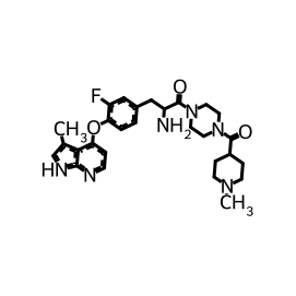 Cc1c[nH]c2nccc(Oc3ccc(CC(N)C(=O)N4CCN(C(=O)C5CCN(C)CC5)CC4)cc3F)c12